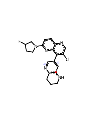 CN/C=C(\C=N/C1CCCNC1)c1c(Cl)cnc2ccc(N3CCC(F)C3)nc12